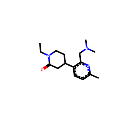 CCN1CCC(c2ccc(C)nc2CN(C)C)CC1=O